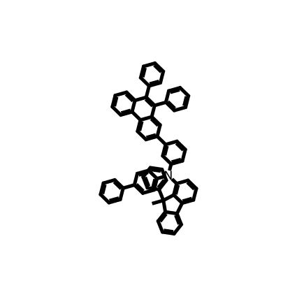 CC1(c2ccccc2)c2ccccc2-c2cccc(N(c3ccc(-c4ccccc4)cc3)c3cccc(-c4ccc5c(c4)c(-c4ccccc4)c(-c4ccccc4)c4ccccc45)c3)c21